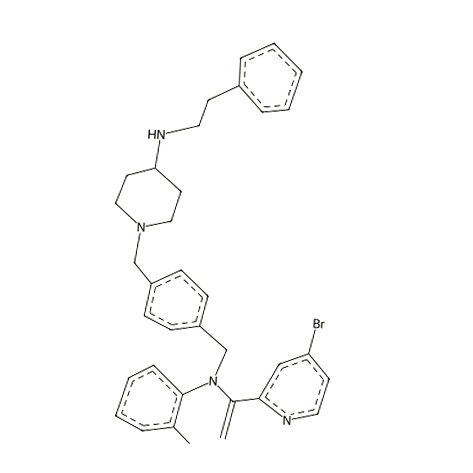 C=C(c1cc(Br)ccn1)N(Cc1ccc(CN2CCC(NCCc3ccccc3)CC2)cc1)c1ccccc1C